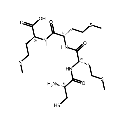 CSCC[C@H](NC(=O)[C@H](CCSC)NC(=O)[C@H](CCSC)NC(=O)[C@@H](N)CS)C(=O)O